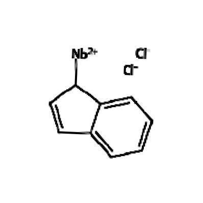 [Cl-].[Cl-].[Nb+2][CH]1C=Cc2ccccc21